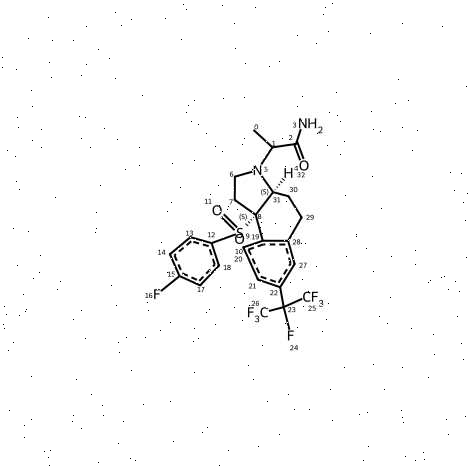 CC(C(N)=O)N1CC[C@]2(S(=O)(=O)c3ccc(F)cc3)c3ccc(C(F)(C(F)(F)F)C(F)(F)F)cc3CC[C@H]12